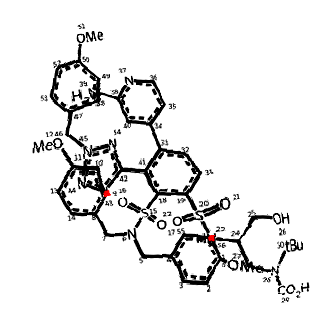 COc1ccc(CN(Cc2ccc(OC)cc2)S(=O)(=O)c2c(S(=O)(=O)N[C@@H](CO)CN(C(=O)O)C(C)(C)C)ccc(-c3ccnc(N)c3)c2-c2nnn(Cc3ccc(OC)cc3)n2)cc1